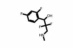 CNCC(F)(F)C(O)c1ccc(F)cc1F